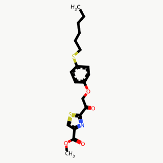 CCCCCCSc1ccc(OCC(=O)c2nc(C(=O)OC)cs2)cc1